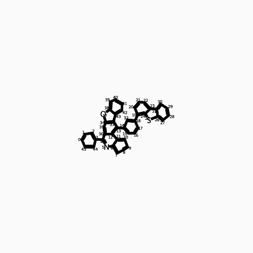 c1ccc(-c2nc3ccccc3c3c(-c4cccc(-c5cccc6c5sc5ccccc56)c4)c4c(cc23)oc2ccccc24)cc1